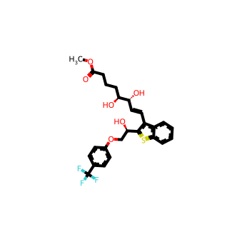 COC(=O)CCC[C@H](O)[C@H](O)/C=C/c1c([C@H](O)COc2ccc(C(F)(F)F)cc2)sc2ccccc12